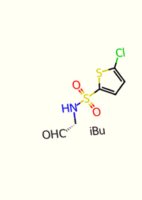 CC[C@H](C)[C@H](C=O)NS(=O)(=O)c1ccc(Cl)s1